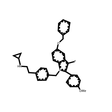 COc1ccc(-c2c(F)c3cc(OCc4ccccc4)ccc3n2Cc2ccc(CCNC3CC3)cc2)cc1